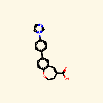 O=C(O)C1=Cc2cc(-c3ccc(-n4ccnc4)cc3)ccc2OCC1